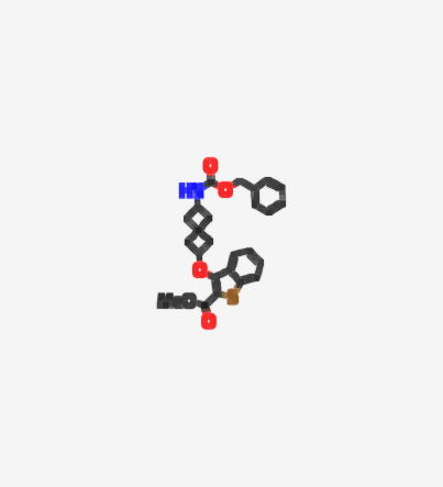 COC(=O)c1sc2ccccc2c1OC1CC2(CC(NC(=O)OCc3ccccc3)C2)C1